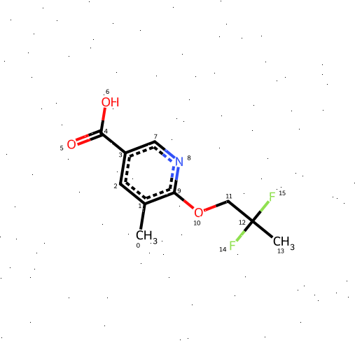 Cc1cc(C(=O)O)cnc1OCC(C)(F)F